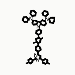 Cc1ccc(-c2cc(-c3ccc(-c4cc(C)c(-c5ccc(-n6c7ccc(N(c8ccccc8)c8ccccc8)cc7c7cc(N(c8ccccc8)c8ccccc8)ccc76)cc5)cc4C)cc3)nc(-c3ccc(C)cc3)n2)cc1